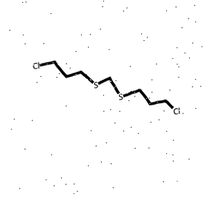 ClCCCS[CH]SCCCCl